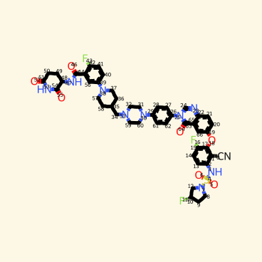 N#Cc1c(NS(=O)(=O)N2CC[C@@H](F)C2)ccc(F)c1Oc1ccc2ncn(-c3ccc(N4CCN(CC5CCN(c6ccc(F)c(C(=O)NC7CCC(=O)NC7=O)c6)CC5)CC4)cc3)c(=O)c2c1